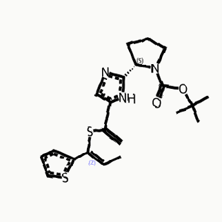 C=C(S/C(=C\C)c1cccs1)c1cnc([C@@H]2CCCN2C(=O)OC(C)(C)C)[nH]1